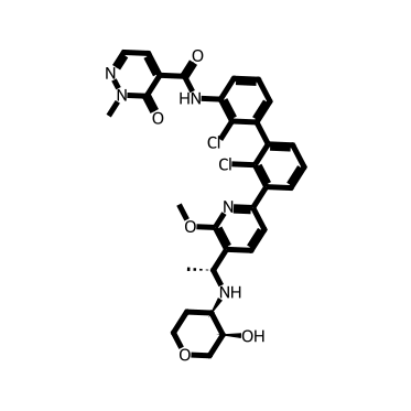 COc1nc(-c2cccc(-c3cccc(NC(=O)c4ccnn(C)c4=O)c3Cl)c2Cl)ccc1[C@@H](C)N[C@@H]1CCOC[C@@H]1O